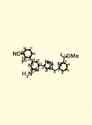 CO[C@H](C)c1cccc(Cn2cc(-c3cc(-c4cccc(C#N)c4F)nc(N)n3)nn2)n1